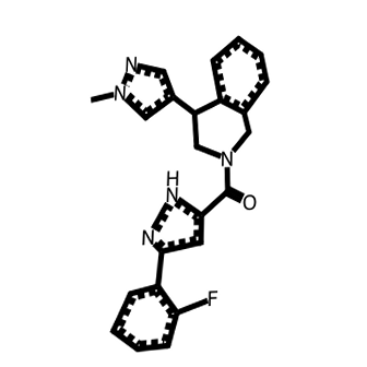 Cn1cc(C2CN(C(=O)c3cc(-c4ccccc4F)n[nH]3)Cc3ccccc32)cn1